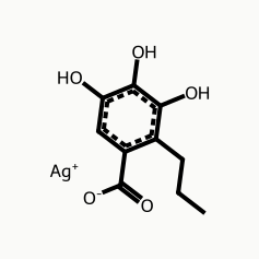 CCCc1c(C(=O)[O-])cc(O)c(O)c1O.[Ag+]